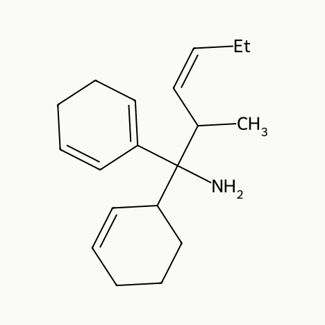 CC/C=C\C(C)C(N)(C1=CCCC=C1)C1C=CCCC1